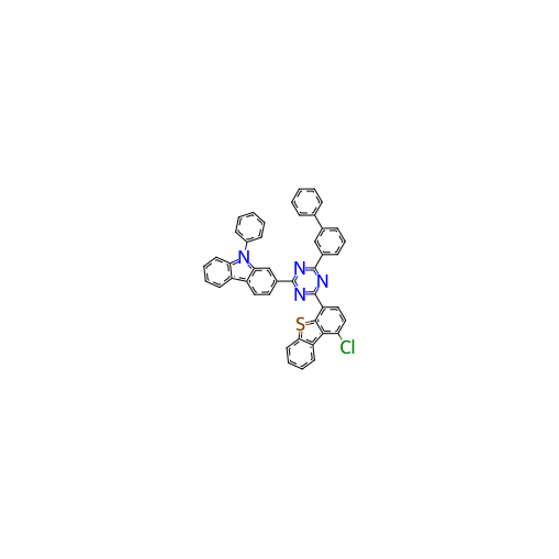 Clc1ccc(-c2nc(-c3cccc(-c4ccccc4)c3)nc(-c3ccc4c5ccccc5n(-c5ccccc5)c4c3)n2)c2sc3ccccc3c12